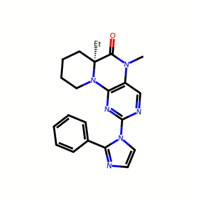 CC[C@@]12CCCCN1c1nc(-n3ccnc3-c3ccccc3)ncc1N(C)C2=O